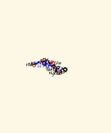 CC[C@H](C)[C@@H]([C@@H](CC(=O)N1CCC[C@H]1[C@H](OC)[C@@H](C)C(=O)NC(Cc1ccccc1)C(=O)OC)OC)N(C)C(=O)[C@@H](Nc1ncc(C(=O)NCCNC(=O)OC(C)(C)C)c(C)n1)C(C)C